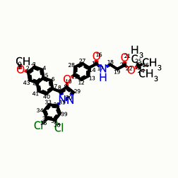 COc1ccc2cc(-c3c(Oc4ccc(C(=O)NCCC(=O)OC(C)(C)C)cc4)cnn3-c3ccc(Cl)c(Cl)c3)ccc2c1